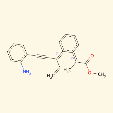 C=C/C(C#Cc1ccccc1N)=c1/cccc/c1=C(/C)C(=O)OC